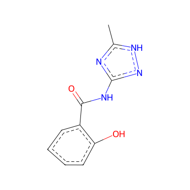 Cc1nc(NC(=O)c2ccccc2O)n[nH]1